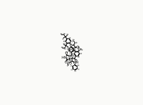 CCOC1(C(Cl)(C(=O)Nc2ccccc2)C(=O)c2ccc(OC)c(NC(=O)C(CC)Oc3ccc(C(C)(C)CC)cc3C(C)(C)CC)c2)C(=O)NC(=O)N1Cc1ccccc1